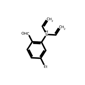 C=C[SiH](C=C)c1cc(CC)ccc1[C]=O